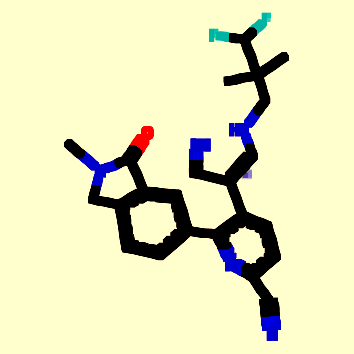 CN1Cc2ccc(-c3nc(C#N)ccc3/C(C=N)=C/NCC(C)(C)C(F)F)cc2C1=O